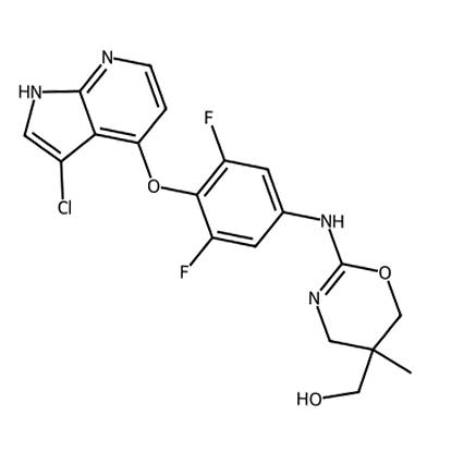 CC1(CO)CN=C(Nc2cc(F)c(Oc3ccnc4[nH]cc(Cl)c34)c(F)c2)OC1